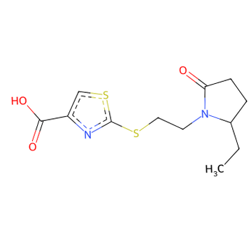 CCC1CCC(=O)N1CCSc1nc(C(=O)O)cs1